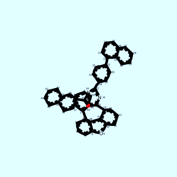 c1ccc(-c2cccc3oc4cccc(-c5nc(-c6ccc(-c7cccc8ccccc78)cc6)nc(-c6ccc7ccccc7c6)n5)c4c23)cc1